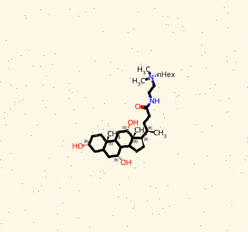 CCCCCC[N+](C)(C)CCNC(=O)CC[C@@H](C)[C@H]1CCC2C3C(C[C@H](O)[C@@]21C)[C@@]1(C)CC[C@@H](O)CC1C[C@H]3O